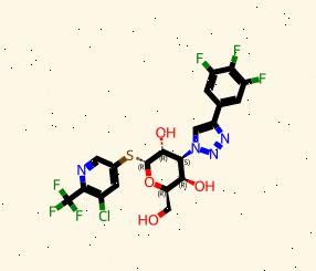 OC[C@H]1O[C@H](Sc2cnc(C(F)(F)F)c(Cl)c2)[C@H](O)[C@@H](n2cc(-c3cc(F)c(F)c(F)c3)nn2)[C@H]1O